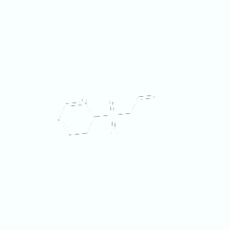 C=CCS(=O)(=O)C1CC=CC=N1